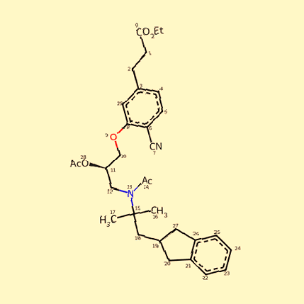 CCOC(=O)CCc1ccc(C#N)c(OC[C@@H](CN(C(C)=O)C(C)(C)CC2Cc3ccccc3C2)OC(C)=O)c1